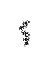 COc1ccc(-c2cn(Cc3cn4cc(CNCC56CC(F)(C5)C6)ccc4n3)nn2)cn1